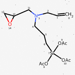 C=CCN(CCC[Si](OC(C)=O)(OC(C)=O)OC(C)=O)CC1CO1